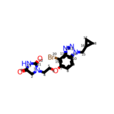 O=C1CN(CCOc2ccc3c(nnn3CC3CC3)c2Br)C(=O)N1